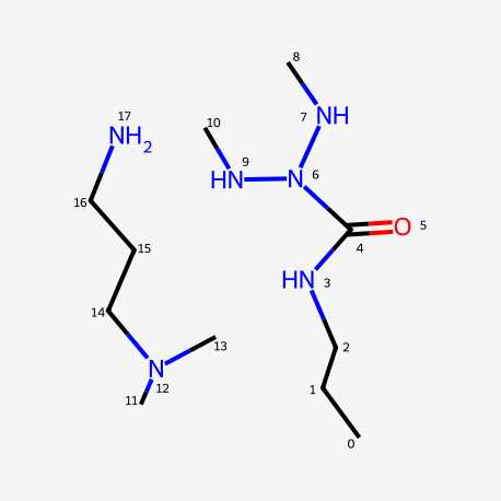 CCCNC(=O)N(NC)NC.CN(C)CCCN